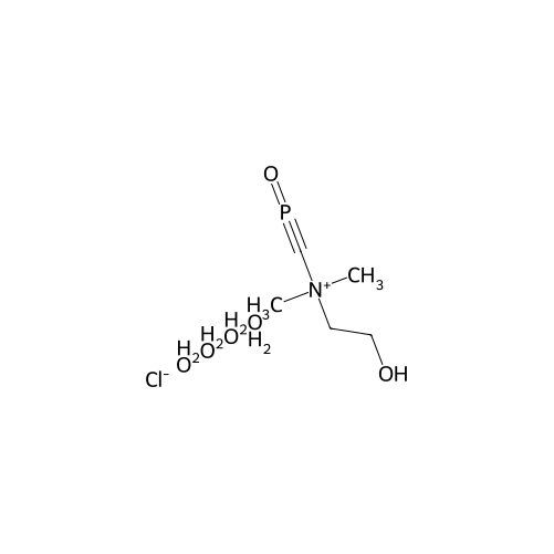 C[N+](C)(C#P=O)CCO.O.O.O.O.[Cl-]